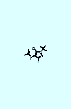 CC(=O)Nc1c(F)nn(C(C)(C)C)c1Cl